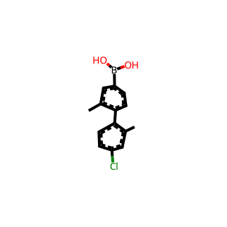 Cc1cc(Cl)ccc1-c1ccc(B(O)O)cc1C